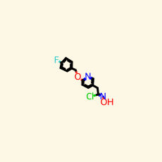 O/N=C(\Cl)Cc1ccc(OCc2ccc(F)cc2)nc1